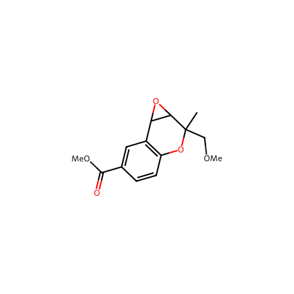 COCC1(C)Oc2ccc(C(=O)OC)cc2C2OC21